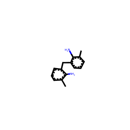 Cc1cccc(Cc2cccc(C)c2N)c1N